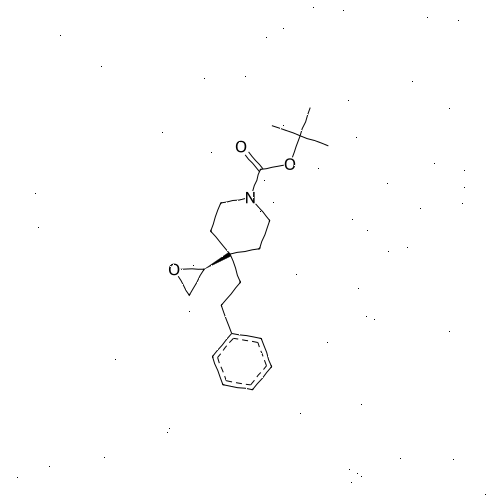 CC(C)(C)OC(=O)N1CCC(CCc2ccccc2)([C@H]2CO2)CC1